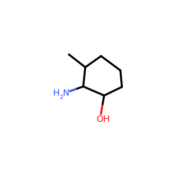 CC1CCCC(O)C1N